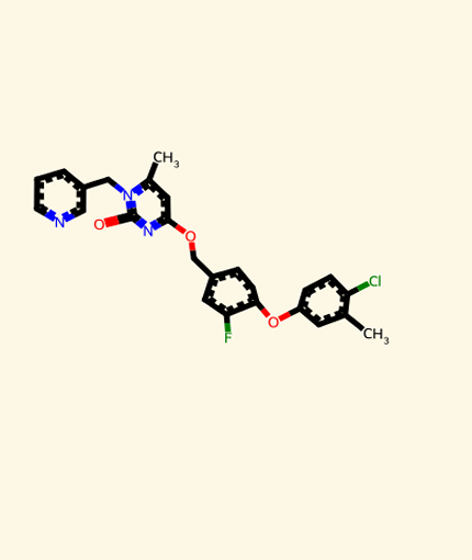 Cc1cc(Oc2ccc(COc3cc(C)n(Cc4cccnc4)c(=O)n3)cc2F)ccc1Cl